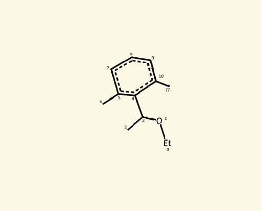 CCOC(C)c1c(C)cccc1C